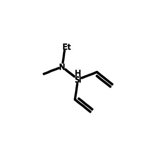 C=C[SiH](C=C)N(C)CC